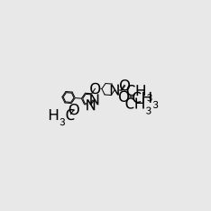 COc1ccccc1-c1cnnc(OC2CCN(C(=O)OC(C)(C)C)CC2)c1